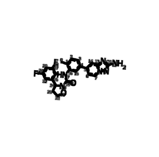 Cc1ccc(-c2ccn3nc(N)nc3c2)cc1NC(=O)N1OCCC1c1cc(F)cc(F)c1